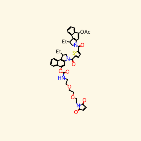 CCC1CN(C(=O)c2ccc(C(=O)N3CC(CC)c4c3cc(OC(=O)NCCOCCOCCN3C(=O)C=CC3=O)c3ccccc43)s2)c2cc(OC(C)=O)c3ccccc3c21